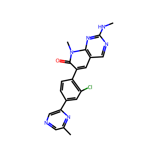 CNc1ncc2cc(-c3ccc(-c4cncc(C)n4)cc3Cl)c(=O)n(C)c2n1